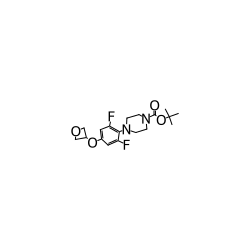 CC(C)(C)OC(=O)N1CCN(c2c(F)cc(OC3COC3)cc2F)CC1